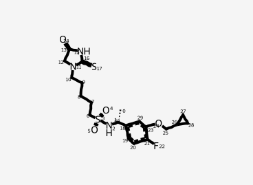 C[C@@H](NS(=O)(=O)CCCCCN1CC(=O)NC1=S)c1ccc(F)c(OCC2CC2)c1